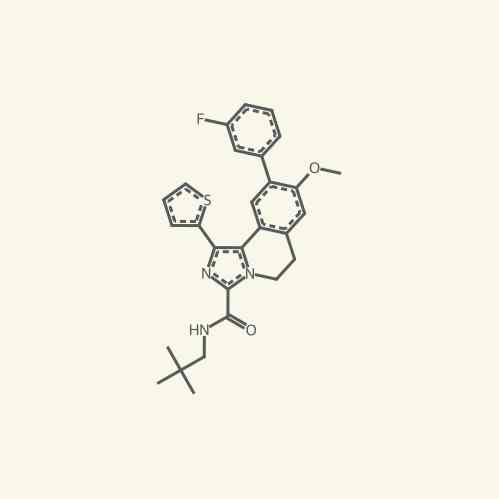 COc1cc2c(cc1-c1cccc(F)c1)-c1c(-c3cccs3)nc(C(=O)NCC(C)(C)C)n1CC2